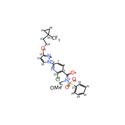 COCN(C(=O)c1ccc(-n2ccc(OCCC3(C(F)(F)F)CC3)n2)nc1Cl)S(=O)(=O)c1ccccc1